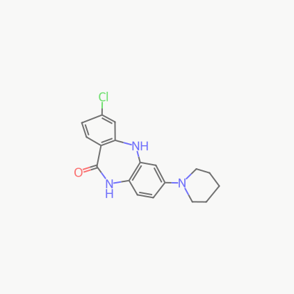 O=C1Nc2ccc(N3CCCCC3)cc2Nc2cc(Cl)ccc21